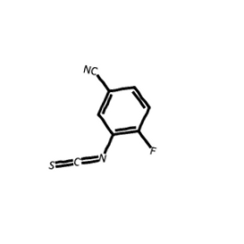 N#Cc1ccc(F)c(N=C=S)c1